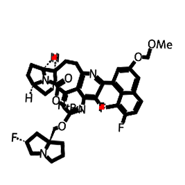 COCOc1cc(-c2nc3c4c(nc(OC[C@@]56CCCN5C[C@H](F)C6)nc4c2F)N2C[C@H]4CC[C@@H]([C@H]2CC3)N4C(=O)OC(C)(C)C)c2c(F)c(F)ccc2c1